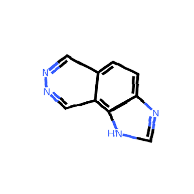 c1nc2ccc3cnncc3c2[nH]1